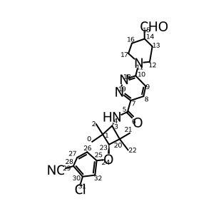 CC1(C)[C@H](NC(=O)c2ccc(N3CCC(C=O)CC3)nn2)C(C)(C)[C@H]1Oc1ccc(C#N)c(Cl)c1